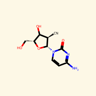 N#C[C@@H]1C(O)[C@@H](CO)O[C@H]1n1ccc(N)nc1=O